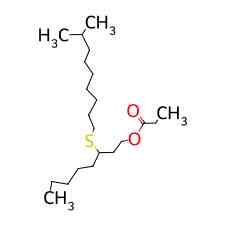 CCCCCC(CCOC(=O)CC)SCCCCCCCC(C)C